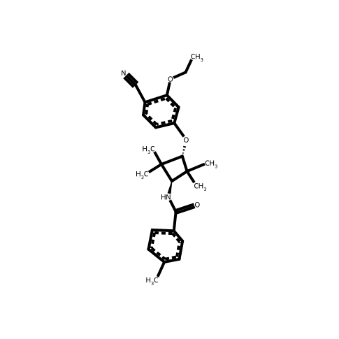 CCOc1cc(O[C@H]2C(C)(C)[C@H](NC(=O)c3ccc(C)cc3)C2(C)C)ccc1C#N